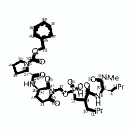 CNC(=O)[C@H](CC(C)C)NC(=O)C(CC(C)C)CP(=O)(O)OCN1C(=O)CC[C@@H](NC(=O)[C@@H]2CCCN2C(=O)OCc2ccccc2)C1=O